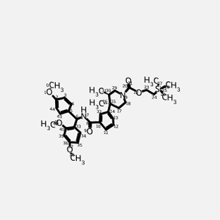 COc1ccc(C(NC(=O)c2cccc([C@]3(C)CCN(C(=O)OCC[Si](C)(C)C)C[C@@H]3C)c2)c2ccc(OC)cc2OC)cc1